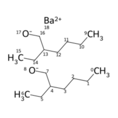 CCCCC(CC)C[O-].CCCCC(CC)C[O-].[Ba+2]